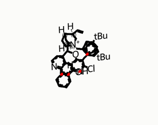 C=C[C@H]1C[N@+]2(Cc3cc(C(C)(C)C)cc(C(C)(C)C)c3)CC[C@H]1C[C@@H]2C(Oc1nc(-c2ccccc2)nc(Cl)c1-c1ccccc1)c1ccnc2ccc(O)cc12